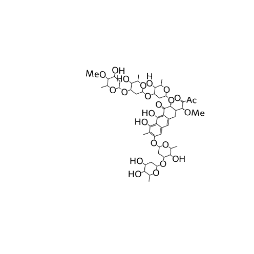 COC1C(O)CC(OC2CC(OC3CC(O[C@@H]4C(=O)c5c(cc6cc(OC7CC(OC8CC(O)C(O)C(C)O8)C(O)C(C)O7)c(C)c(O)c6c5O)CC4[C@H](OC)C(=O)C(C)=O)OC(C)C3O)OC(C)C2O)OC1C